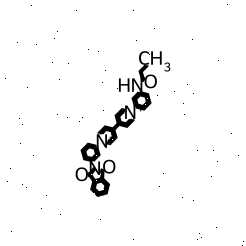 CCCC(=O)Nc1cccc(-[n+]2ccc(-c3cc[n+](-c4cccc(N5C(=O)c6ccccc6C5=O)c4)cc3)cc2)c1